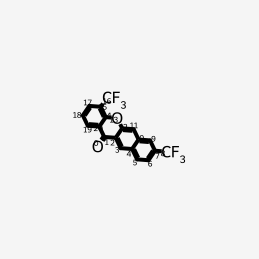 O=c1c2cc3ccc(C(F)(F)F)cc3cc2oc2c(C(F)(F)F)cccc12